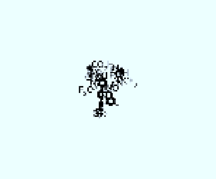 CC(C)(C#Cc1ccc(-c2ccc(Cl)c3c(N(C(=O)[C@H]4C[C@H]4C(=O)O)S(C)(=O)=O)nn(CC(F)(F)F)c23)c(C(Cc2cc(F)cc(F)c2)NC(=O)Cn2nc(C(F)(F)F)c3c2C(F)(F)[C@@H]2C[C@H]32)n1)S(C)(=O)=O